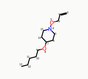 C=CCON1CCC(OCCCCC)CC1